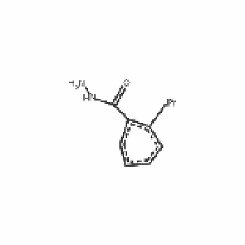 CC(C)c1ccccc1C(=O)NN